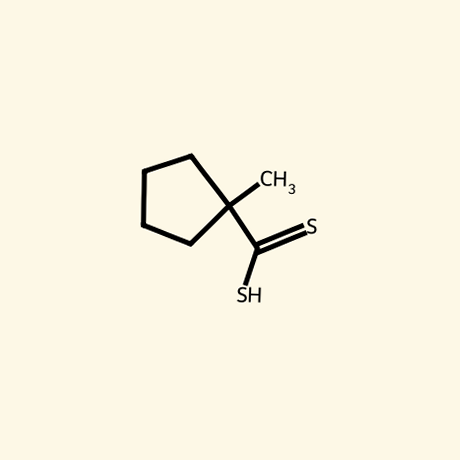 CC1(C(=S)S)CCCC1